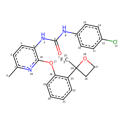 Cc1ccc(NC(=O)Nc2ccc(Cl)cc2)c(Oc2ccccc2C2(C(F)(F)F)CCO2)n1